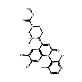 CCc1nccc(C)c1-n1c(=O)nc(N2CCN(C(=O)OC(C)(C)C)C[C@@H]2C)c2cc(Cl)c(Cl)nc21